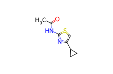 CC(=O)Nc1nc(C2CC2)cs1